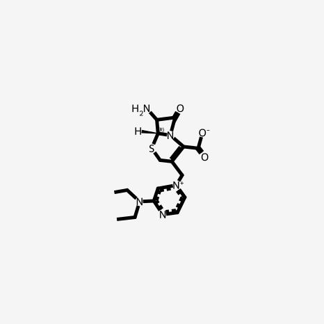 CCN(CC)c1c[n+](CC2=C(C(=O)[O-])N3C(=O)C(N)[C@H]3SC2)ccn1